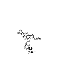 CCCC(=O)Nc1cccc(CCc2cc(O[C@@H](C)COC)cc(C(=O)Nc3nccs3)c2)c1